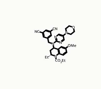 CCOC(=O)N1c2ccc(OC)cc2C(N(Cc2cc(C#N)cc(C#N)c2)c2ncc(N3CCOCC3)cn2)C[C@H]1CC